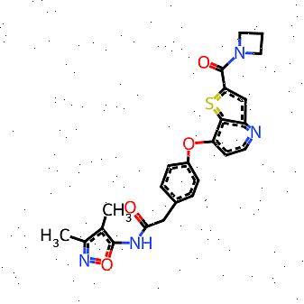 Cc1noc(NC(=O)Cc2ccc(Oc3ccnc4cc(C(=O)N5CCC5)sc34)cc2)c1C